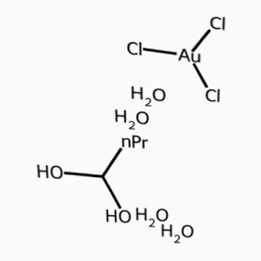 CCCC(O)O.O.O.O.O.[Cl][Au]([Cl])[Cl]